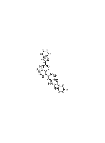 Cc1c(-c2cc(Nc3cc4n(n3)CCN(C)C4)c(=O)[nH]n2)ccc(F)c1NC(=O)c1cc2c(s1)CCCC2